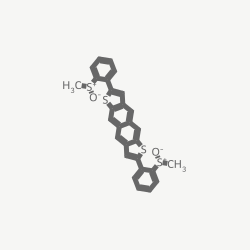 C[S+]([O-])c1ccccc1-c1cc2cc3cc4sc(-c5ccccc5[S+](C)[O-])cc4cc3cc2s1